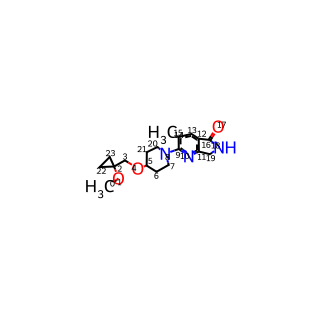 COC1(COC2CCN(c3nc4c(cc3C)C(=O)NC4)CC2)CC1